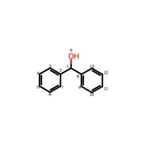 OC(c1cc[c]cc1)c1ccccc1